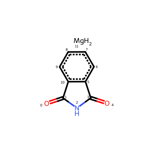 O=C1NC(=O)c2ccccc21.[MgH2]